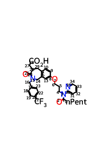 CCCCCC(=O)N(CCCOc1ccc2c(c1)CN(Cc1ccc(C(F)(F)F)cc1)C(=O)C(CC(=O)O)C2)c1ccccn1